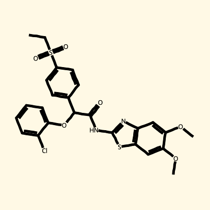 CCS(=O)(=O)c1ccc(C(Oc2ccccc2Cl)C(=O)Nc2nc3cc(OC)c(OC)cc3s2)cc1